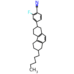 CCCCCC1CCc2c(ccc3c2CCC(c2ccc(C#N)c(F)c2)C3)C1